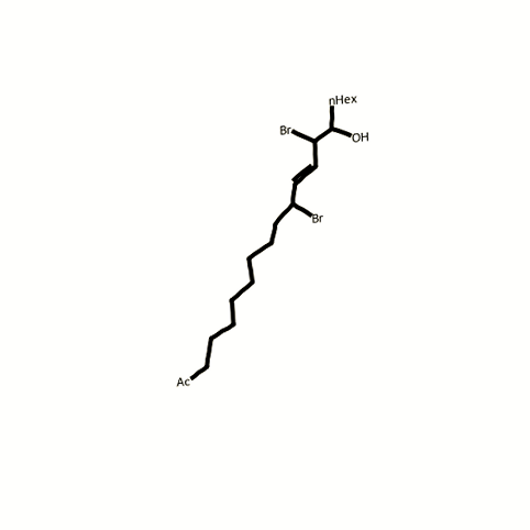 CCCCCCC(O)C(Br)C=CC(Br)CCCCCCCCC(C)=O